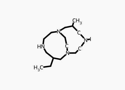 CCC1CNCCN2CCN(CCN(I)CC(C)C2)C1